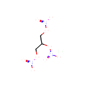 Cl.O=[N+]([O-])OCC(CO[N+](=O)[O-])O[N+](=O)[O-]